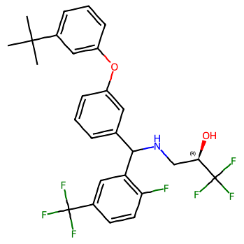 CC(C)(C)c1cccc(Oc2cccc(C(NC[C@@H](O)C(F)(F)F)c3cc(C(F)(F)F)ccc3F)c2)c1